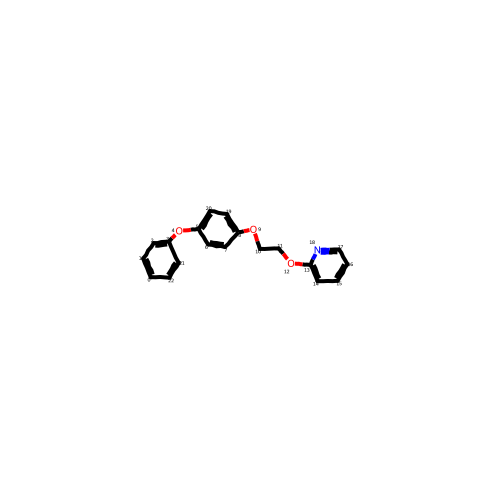 c1ccc(Oc2ccc(OCCOc3ccccn3)cc2)cc1